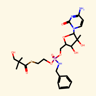 CC(C)(CO)C(=O)SCCOP(=O)(NCc1ccccc1)OCC1OC(n2ccc(N)nc2=O)C(C)(O)C1O